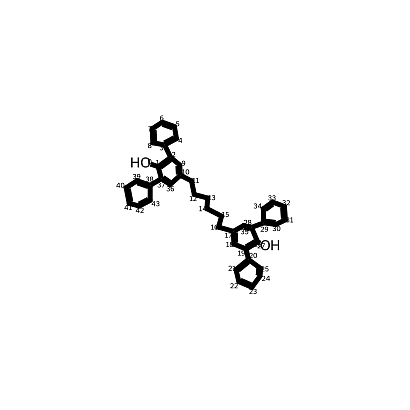 Oc1c(-c2ccccc2)cc(CCCCCCc2cc(-c3ccccc3)c(O)c(-c3ccccc3)c2)cc1-c1ccccc1